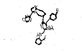 Fc1ccc(-c2[nH]c(CNc3ccccc3F)nc2-c2ccc3ncc(-c4ncon4)n3c2)cc1